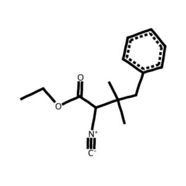 [C-]#[N+]C(C(=O)OCC)C(C)(C)Cc1ccccc1